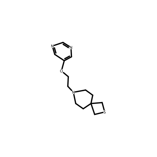 c1ncc(OCCN2CCC3(CC2)CSC3)cn1